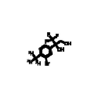 [2H]C([2H])([2H])c1ccc(C(O)(CO)C(F)(F)F)cc1Br